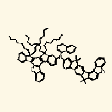 CCCCCCCC1(CCCCCCC)c2ccccc2-c2c1c1c(c3c2oc2ccccc23)-c2ccc(N(c3ccc4c(c3)C(C)(C)c3cc5c(cc3-4)C(C)(C)c3ccc4oc6ccccc6c4c3-5)c3cccc4ccccc34)cc2C1(CCCCCCC)CCCCCCC